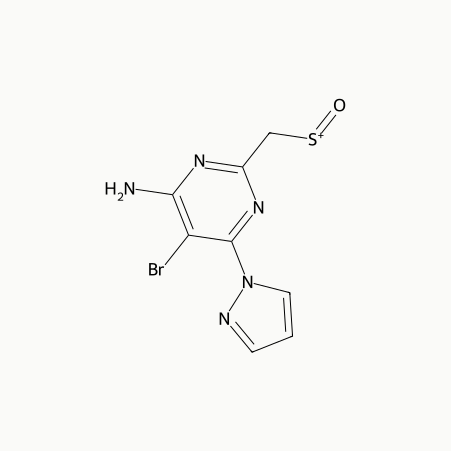 Nc1nc(C[S+]=O)nc(-n2cccn2)c1Br